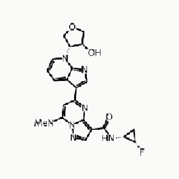 CNc1cc(-c2cnc3n([C@@H]4COC[C@H]4O)cccc2-3)nc2c(C(=O)N[C@@H]3C[C@@H]3F)cnn12